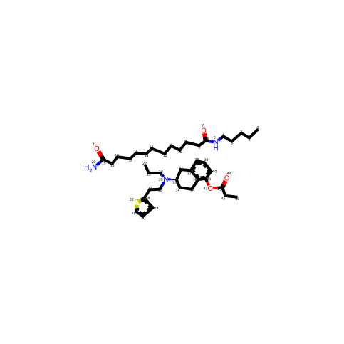 CCCCCNC(=O)CCCCCCCCCCCC(N)=O.CCCN(CCc1cccs1)[C@@H]1CCc2c(cccc2OC(=O)CC)C1